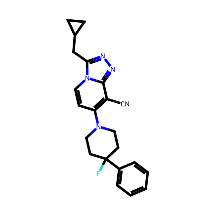 N#Cc1c(N2CCC(F)(c3ccccc3)CC2)ccn2c(CC3CC3)nnc12